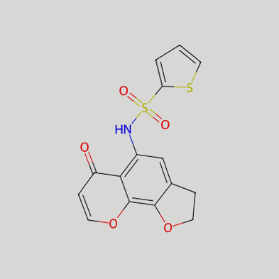 O=c1ccoc2c3c(cc(NS(=O)(=O)c4cccs4)c12)CCO3